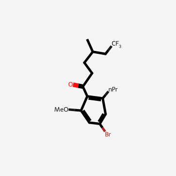 CCCc1cc(Br)cc(OC)c1C(=O)CCC(C)CC(F)(F)F